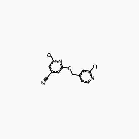 N#Cc1cc(Cl)nc(OCc2ccnc(Cl)c2)c1